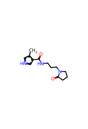 Cc1[c][nH]cc1C(=O)NCCCN1CCCC1=O